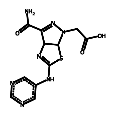 NC(=O)C1=NN(CC(=O)O)C2SC(Nc3cncnc3)=NC12